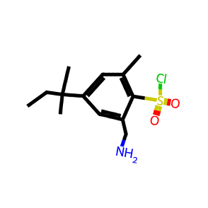 CCC(C)(C)c1cc(C)c(S(=O)(=O)Cl)c(CN)c1